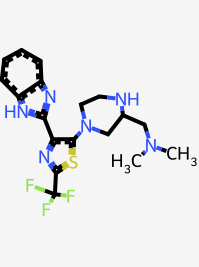 CN(C)CC1CN(c2sc(C(F)(F)F)nc2-c2nc3ccccc3[nH]2)CCN1